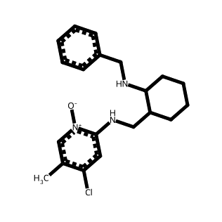 Cc1c[n+]([O-])c(NCC2CCCCC2NCc2ccccc2)cc1Cl